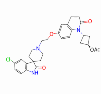 CC(=O)O[C@H]1C[C@H](N2C(=O)CCc3cc(OCCN4CCC5(CC4)C(=O)Nc4ccc(Cl)cc45)ccc32)C1